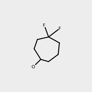 [O]C1CCCC(F)(F)CC1